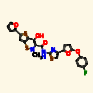 CN1Sc2cc(-c3ccco3)sc2C(O)=C1C(=O)Nc1nc(-c2ccc(Oc3ccc(F)cc3)o2)cs1